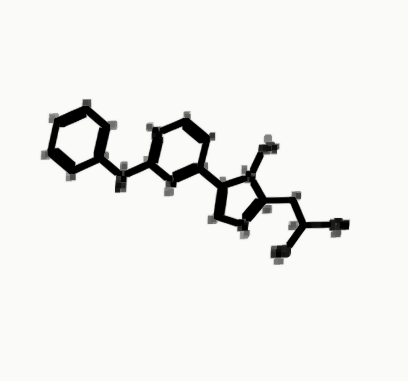 CCCn1c(-c2ccnc(Nc3ccccc3)n2)cnc1CC(O)C(C)(C)C